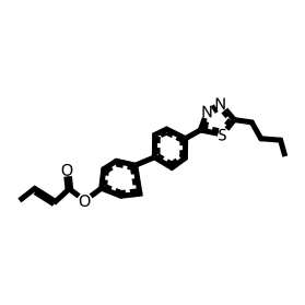 C/C=C/C(=O)Oc1ccc(-c2ccc(-c3nnc(CCCC)s3)cc2)cc1